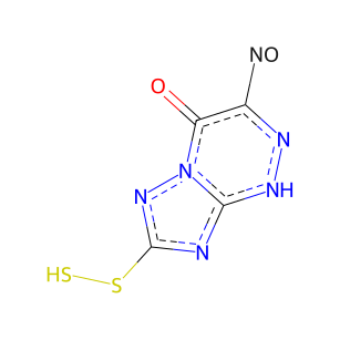 O=Nc1n[nH]c2nc(SS)nn2c1=O